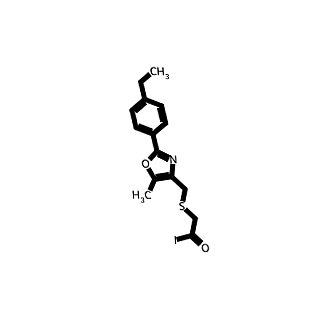 CCc1ccc(-c2nc(CSCC(=O)I)c(C)o2)cc1